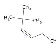 CC/C=C\C(C)(C)C